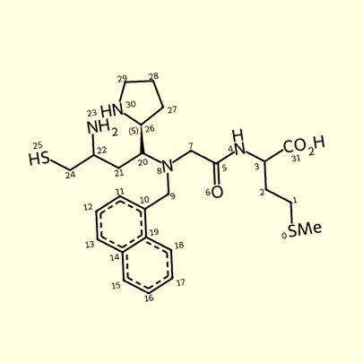 CSCCC(NC(=O)CN(Cc1cccc2ccccc12)C(CC(N)CS)[C@@H]1CCCN1)C(=O)O